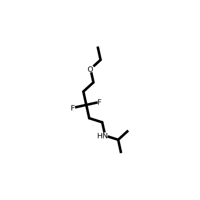 CCOCCC(F)(F)CCNC(C)C